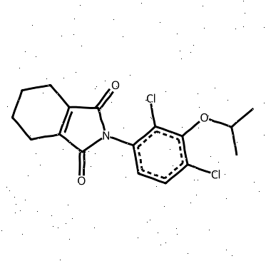 CC(C)Oc1c(Cl)ccc(N2C(=O)C3=C(CCCC3)C2=O)c1Cl